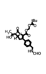 C[C@@H](O)[C@H]1C(=O)N2C(C(=O)OCOC(=O)C(C)(C)C)=C(c3ccc(CNC=O)cc3)C[C@H]12